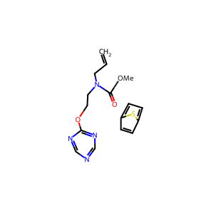 C=CCN(CCOc1ncncn1)C(=O)OC.c1cc2ccc1s2